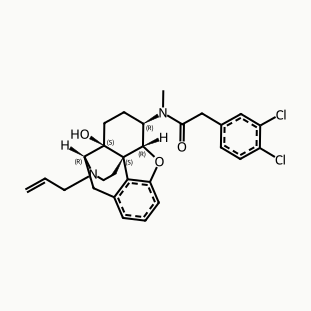 C=CCN1CC[C@]23c4c5cccc4O[C@H]2[C@H](N(C)C(=O)Cc2ccc(Cl)c(Cl)c2)CC[C@@]3(O)[C@H]1C5